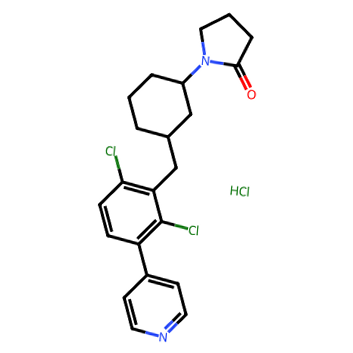 Cl.O=C1CCCN1C1CCCC(Cc2c(Cl)ccc(-c3ccncc3)c2Cl)C1